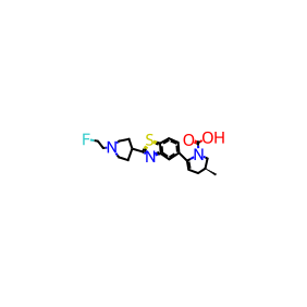 C[C@H]1CC=C(c2ccc3sc(C4CCN(CCF)CC4)nc3c2)N(C(=O)O)C1